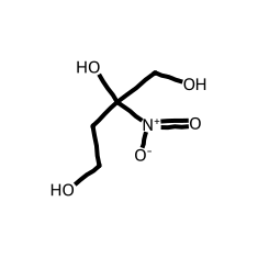 O=[N+]([O-])C(O)(CO)CCO